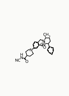 C[C@H]1CCC(c2ccccc2)S(=O)(=O)N1Cc1ccc(N2CCC(C(=O)NC#N)CC2)cc1F